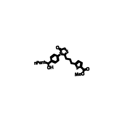 CCCCCC(O)c1ccc(N2C(=O)CSC2CCCc2ccc(C(=O)OC)s2)cc1